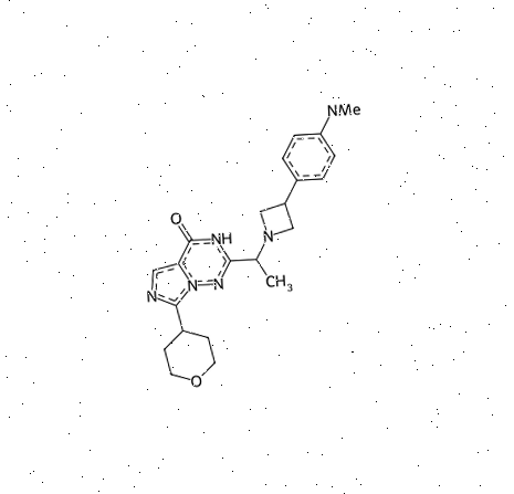 CNc1ccc(C2CN(C(C)c3nn4c(C5CCOCC5)ncc4c(=O)[nH]3)C2)cc1